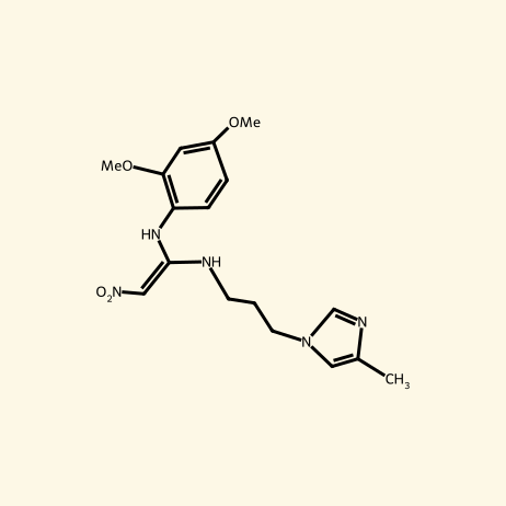 COc1ccc(N/C(=C\[N+](=O)[O-])NCCCn2cnc(C)c2)c(OC)c1